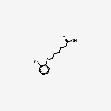 O=C(O)CCCCCSc1ccccc1Br